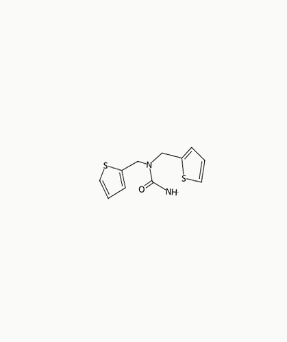 [NH]C(=O)N(Cc1cccs1)Cc1cccs1